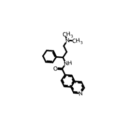 CN(C)CCC(NC(=O)c1ccc2cnccc2c1)C1=CCCC=C1